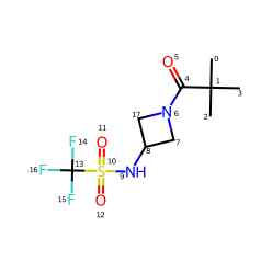 CC(C)(C)C(=O)N1CC(NS(=O)(=O)C(F)(F)F)C1